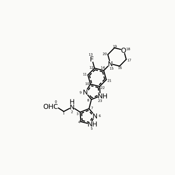 O=CCNc1c[nH]nc1-c1nc2cc(F)c(N3CCOCC3)cc2[nH]1